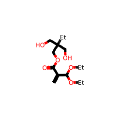 C=C(C(=O)OCC(CC)(CO)CO)C(OCC)OCC